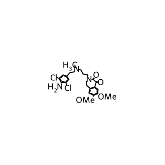 COc1cc2c(cc1OC)C(=O)C(=O)N(CCCN(C)CCc1cc(Cl)c(N)c(Cl)c1)CC2